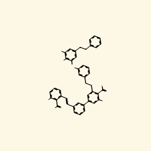 O=C(O)c1c(O)cccc1/C=C/c1cccc(-c2cc(O)c(C(=O)O)c(CCc3cccc(Oc4cc(CCc5ccccc5)cc(O)c4O)c3)c2)c1